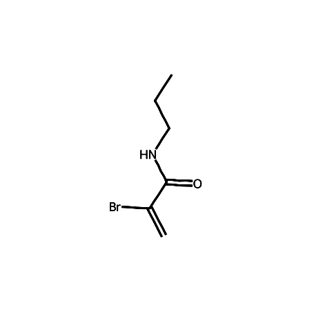 C=C(Br)C(=O)NCCC